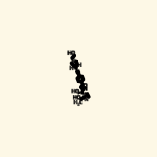 C[C@H](O)c1nccn1[C@H](CO)c1cc(-c2ccc(C#C[C@@H]3[C@H]4CN(CCO)C[C@@H]34)cc2)on1